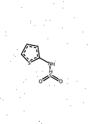 O=[SH](=O)Nc1cccs1